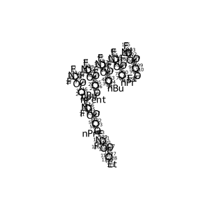 CCCCCc1ccc(C(=O)Oc2ccc(F)nc2F)cc1.CCCCOc1ccc(C(=O)Oc2ccc(F)nc2F)cc1.CCCCc1ccc(C(=O)Oc2ccc(F)nc2F)cc1.CCCOc1ccc(C(=O)Oc2ccc(F)nc2F)cc1.CCCc1ccc(C(=O)Oc2ccc(F)nc2F)cc1.CCOc1ccc(C(=O)Oc2ccc(F)nc2F)cc1.CCc1ccc(C(=O)Oc2ccc(F)nc2F)cc1